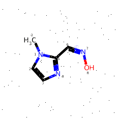 Cn1ccnc1/C=N\O